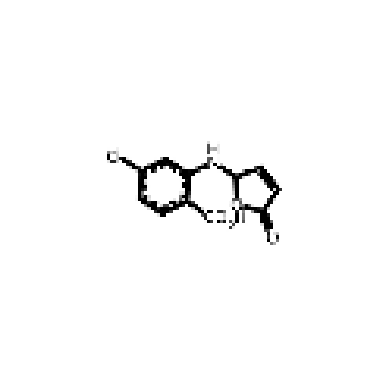 O=C1C=CC(Nc2cc(Cl)ccc2C(=O)O)O1